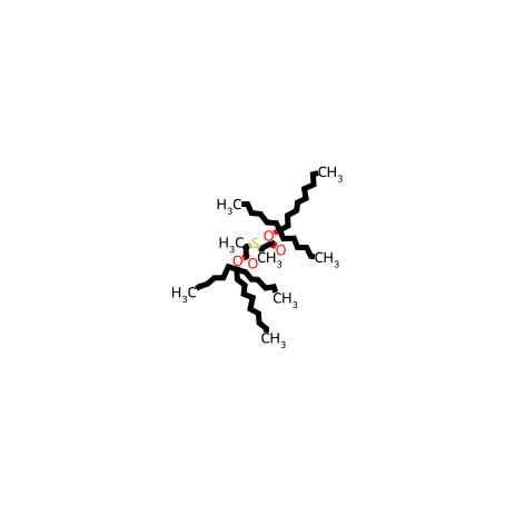 CCCCCCCCCC(CCCCCC)(CCCCCC)OC(=O)C(C)SC(C)C(=O)OC(CCCCCC)(CCCCCC)CCCCCCCCC